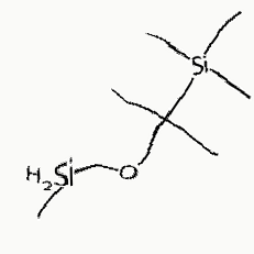 C[SiH2]OC(C)(C)[Si](C)(C)C